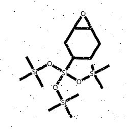 C[Si](C)(C)O[Si](O[Si](C)(C)C)(O[Si](C)(C)C)C1CCC2OC2C1